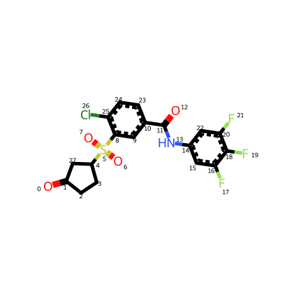 O=C1CCC(S(=O)(=O)c2cc(C(=O)Nc3cc(F)c(F)c(F)c3)ccc2Cl)C1